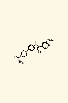 CCc1c(-c2ccnc(OC)c2)[nH]c2ccc(C3CCN(C(N)CC)CC3)cc12